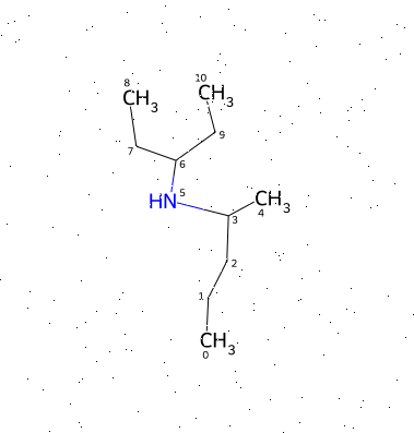 CCCC(C)NC(CC)CC